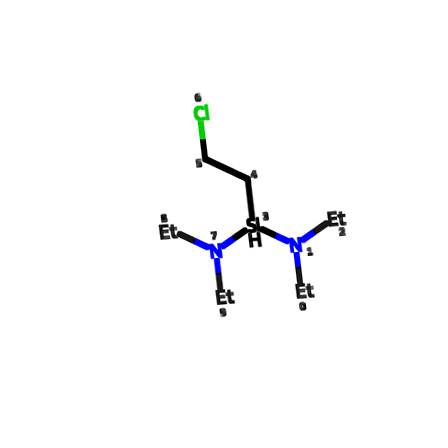 CCN(CC)[SiH](CCCl)N(CC)CC